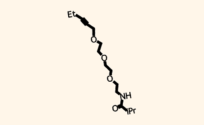 CCC#CCOCCOCCOCCNC(=O)C(C)C